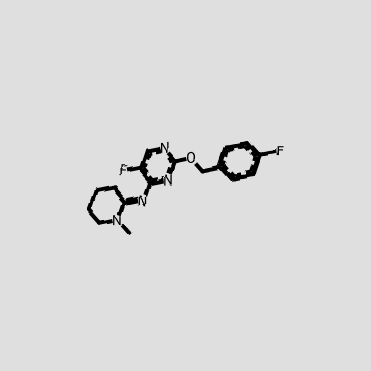 CN1CCCC/C1=N\c1nc(OCc2ccc(F)cc2)ncc1F